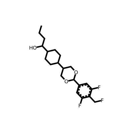 CCCC(O)C1CCC(C2COC(c3cc(F)c(CF)c(F)c3)OC2)CC1